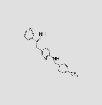 FC(F)(F)C1=CCC(CNc2ccc(Cc3c[nH]c4ncccc34)cn2)C=C1